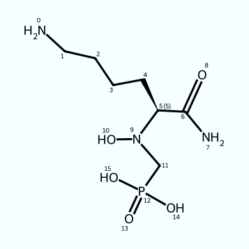 NCCCC[C@@H](C(N)=O)N(O)CP(=O)(O)O